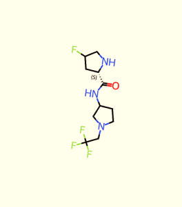 O=C(NC1CCN(CC(F)(F)F)C1)[C@@H]1CC(F)CN1